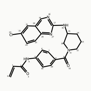 C=CC(=O)Nc1ccc(C(=O)N2CCCC(Nc3ncc4cc(Cl)ccc4n3)C2)cc1